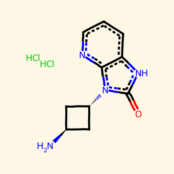 Cl.Cl.N[C@H]1C[C@H](n2c(=O)[nH]c3cccnc32)C1